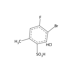 Cc1cc(F)c(Br)cc1S(=O)(=O)O.Cl